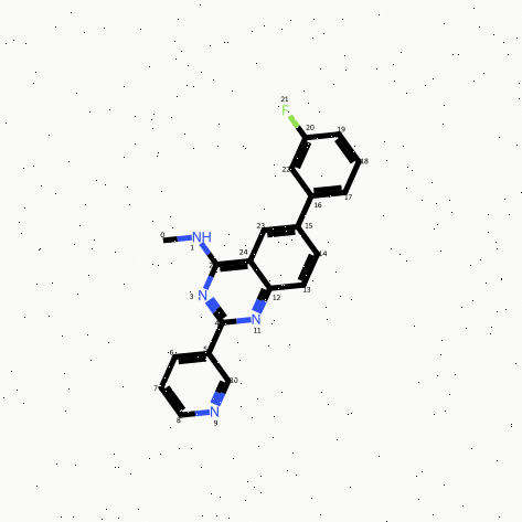 CNc1nc(-c2cccnc2)nc2ccc(-c3cccc(F)c3)cc12